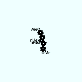 CCCCCCC1(CCCCCC)c2cc(-c3ccc(OC)cc3)ccc2-c2ccc(-c3ccc(OC)cc3)cc21